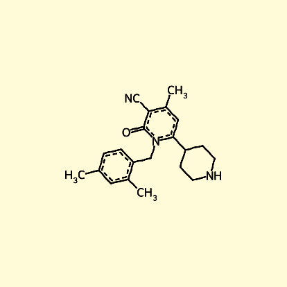 Cc1ccc(Cn2c(C3CCNCC3)cc(C)c(C#N)c2=O)c(C)c1